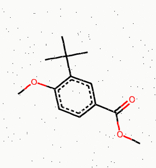 COC(=O)c1ccc(OC)c(C(C)(C)C)c1